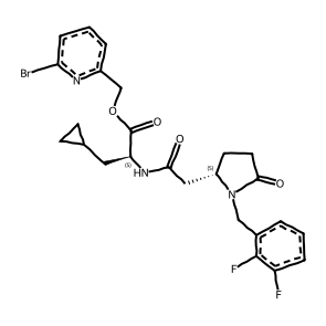 O=C(C[C@@H]1CCC(=O)N1Cc1cccc(F)c1F)N[C@@H](CC1CC1)C(=O)OCc1cccc(Br)n1